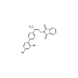 CC(=CCN1C(=O)c2ccccc2C1=O)c1ccc(-c2ccc(Br)cc2Br)cc1